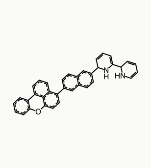 C1=CNC(C2=CC=CC(c3ccc4cc(-c5ccc6c7c(cccc57)-c5ccccc5O6)ccc4c3)N2)C=C1